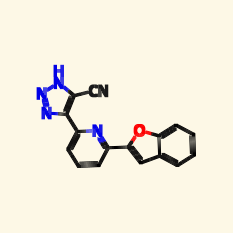 N#Cc1[nH]nnc1-c1cccc(-c2cc3ccccc3o2)n1